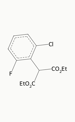 CCOC(=O)C(C(=O)OCC)c1c(F)cccc1Cl